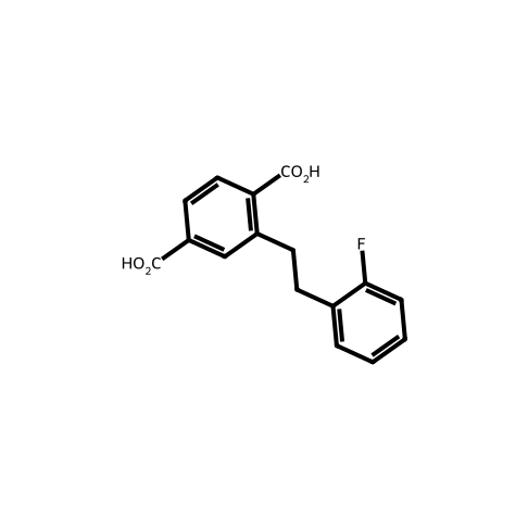 O=C(O)c1ccc(C(=O)O)c(CCc2ccccc2F)c1